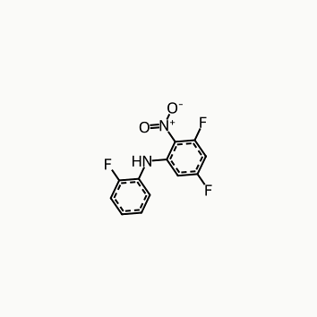 O=[N+]([O-])c1c(F)cc(F)cc1Nc1ccccc1F